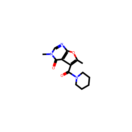 Cc1oc2ncn(C)c(=O)c2c1C(=O)N1CCCCC1